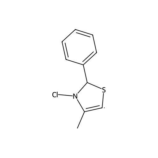 CC1=[C]SC(c2ccccc2)N1Cl